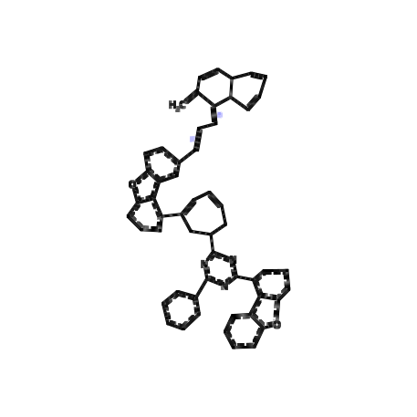 C=C1C=CC2C=CC=CC2/C1=C/C=C/c1ccc2oc3cccc(C4=CC=CCC(c5nc(-c6ccccc6)nc(-c6cccc7oc8ccccc8c67)n5)C4)c3c2c1